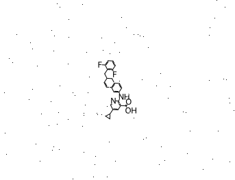 O=C(O)c1cc(C2CC2)cnc1Nc1ccc2c(c1)C=CC(Cc1c(F)cccc1F)C2